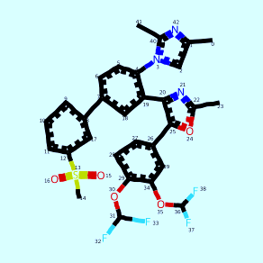 Cc1cn(-c2ccc(-c3cccc(S(C)(=O)=O)c3)cc2-c2nc(C)oc2-c2ccc(OC(F)F)c(OC(F)F)c2)c(C)n1